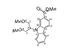 COCC(COC)n1c2ccccc2c2ccc(C(=O)OC)cc21